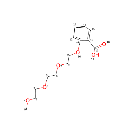 COCCOCCOCCOc1ccccc1C(=O)O